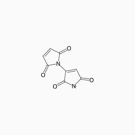 O=C1C=C(N2C(=O)C=CC2=O)C(=O)[N]1